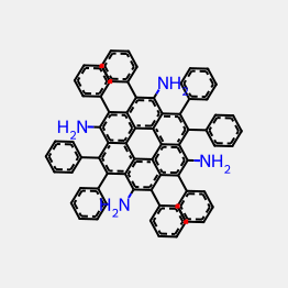 Nc1c(-c2ccccc2)c2c(-c3ccccc3)c(N)c3c(-c4ccccc4)c(-c4ccccc4)c4c(N)c(-c5ccccc5)c5c(-c6ccccc6)c(N)c6c(-c7ccccc7)c(-c7ccccc7)c1c1c6c5c4c3c21